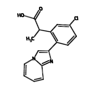 CC(C(=O)O)c1cc(Cl)ccc1-c1cn2ccccc2n1